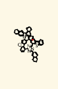 c1ccc(-c2cc3c(cc2-n2c4cc5ccccc5cc4c4c5ccccc5ccc42)oc2cccc(-c4nc(-c5ccc6ccccc6c5)nc(-c5cccc6c5sc5ccccc56)n4)c23)cc1